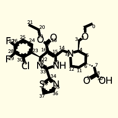 CCOC[C@H]1C[C@H](CC(=O)O)CCN1CC1=C(C(=O)OCC)[C@H](c2ccc(F)c(F)c2Cl)N=C(c2nccs2)N1